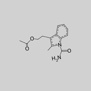 CC(=O)OCCc1c(C)n(C(N)=O)c2ccccc12